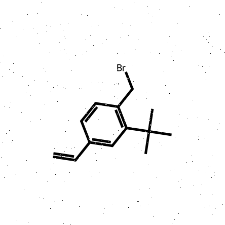 C=Cc1ccc(CBr)c(C(C)(C)C)c1